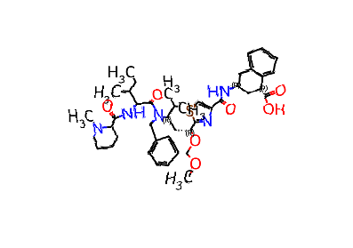 CCC(C)C(NC(=O)C1CCCCN1C)C(=O)N(Cc1ccccc1)[C@H](C[C@@H](OCOC)c1nc(C(=O)N[C@H]2Cc3ccccc3[C@H](C(=O)O)C2)cs1)C(C)C